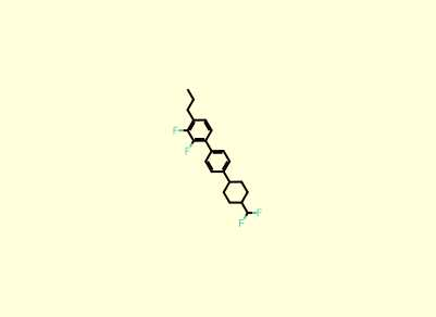 CCCc1ccc(-c2ccc(C3CCC(C(F)F)CC3)cc2)c(F)c1F